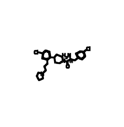 N[C@H](Cc1ccc(Cl)cc1)C(=O)N1CCC(c2ccc(Cl)cc2CCCN2CCCC2)CC1